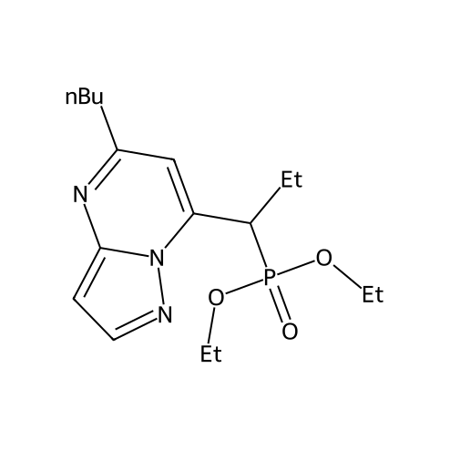 CCCCc1cc(C(CC)P(=O)(OCC)OCC)n2nccc2n1